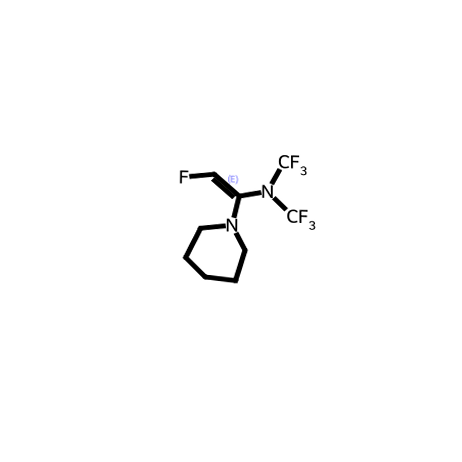 F/C=C(\N1CCCCC1)N(C(F)(F)F)C(F)(F)F